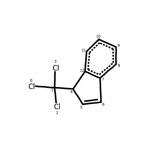 ClC(Cl)(Cl)C1C=Cc2cc[c]cc21